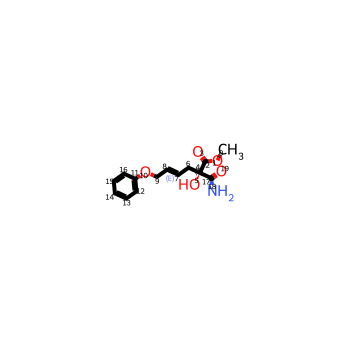 COC(=O)[C@](O)(C/C=C/COc1ccccc1)C(N)=O